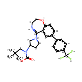 CC(C)(C)CN(C(=O)O)[C@@H]1CCN(C2=NCCOc3ccc(-c4ccc(C(F)(F)F)cc4)cc32)C1